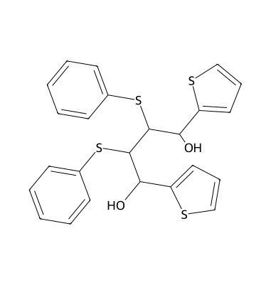 OC(c1cccs1)C(Sc1ccccc1)C(Sc1ccccc1)C(O)c1cccs1